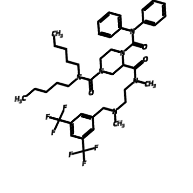 CCCCCN(CCCCC)C(=O)N1CCN(C(=O)N(c2ccccc2)c2ccccc2)C(C(=O)N(C)CCN(C)Cc2cc(C(F)(F)F)cc(C(F)(F)F)c2)C1